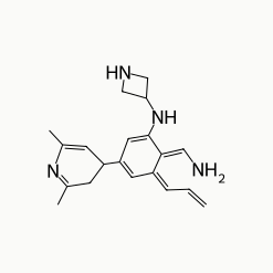 C=C/C=c1/cc(C2C=C(C)N=C(C)C2)cc(NC2CNC2)/c1=C/N